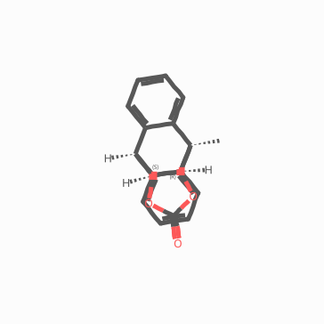 C[C@]12c3ccccc3[C@@H](c3ccccc31)[C@@H]1OC(=O)O[C@@H]12